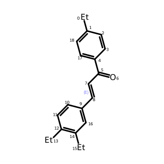 CCc1ccc(C(=O)/C=C/c2ccc(CC)c(CC)c2)cc1